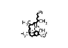 CC1=C2OC(C)(CCCC(C)CCCC(C)CCCC(C)C)CCC2=CC(N=O)C1C